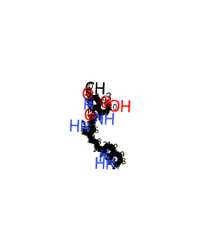 COc1ccc(C(CC(=O)O)NC(=O)c2cc(CCCc3ccc4c(n3)NCCC4)c[nH]2)cn1